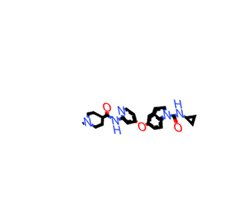 CN1CCC(C(=O)Nc2cc(Oc3ccc4c(ccn4C(=O)NC4CC4)c3)ccn2)CC1